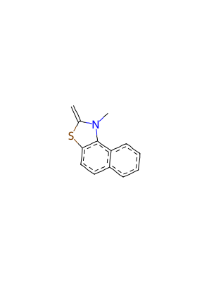 C=C1Sc2ccc3ccccc3c2N1C